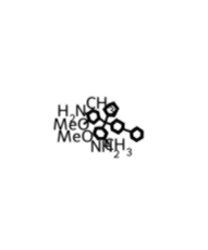 COc1cc(C(c2ccccc2)(c2ccc(-c3ccccc3)cc2)c2cc(C)c(N)c(OC)c2)cc(C)c1N